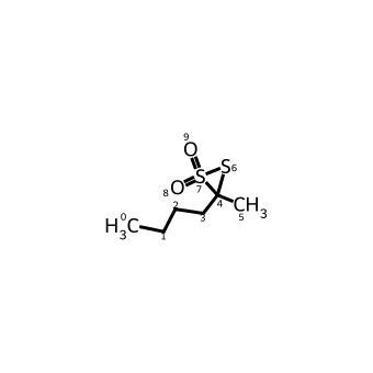 CCCCC1(C)SS1(=O)=O